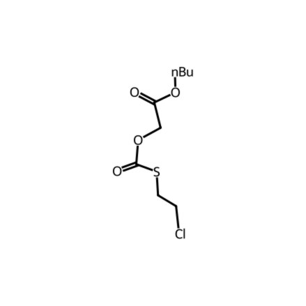 CCCCOC(=O)COC(=O)SCCCl